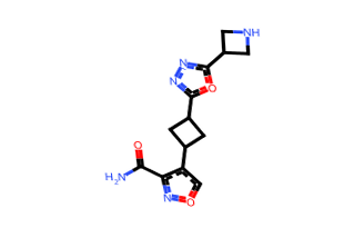 NC(=O)c1nocc1C1CC(c2nnc(C3CNC3)o2)C1